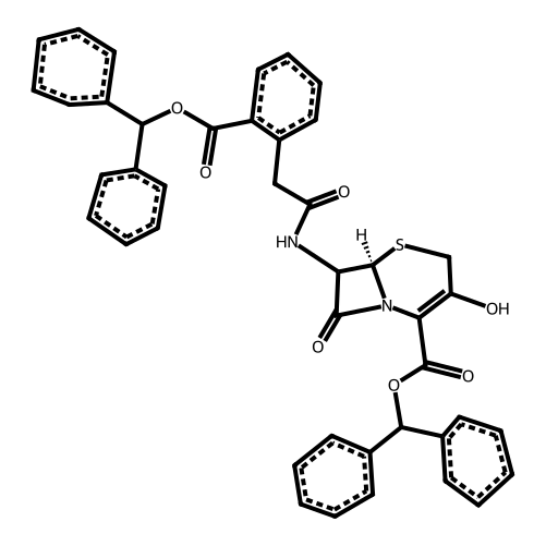 O=C(Cc1ccccc1C(=O)OC(c1ccccc1)c1ccccc1)NC1C(=O)N2C(C(=O)OC(c3ccccc3)c3ccccc3)=C(O)CS[C@H]12